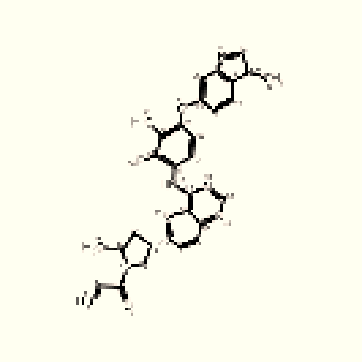 C=CC(=O)N1C[C@@H](c2ccc3ncnc(Nc4ccc(Oc5ccc6c(c5)ncn6C)c(C)c4F)c3n2)C[C@@H]1C